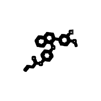 C=CCC(=O)Oc1ccc(Oc2c(-c3ccc(OC)c(Cl)c3)ccc3ccccc23)cc1